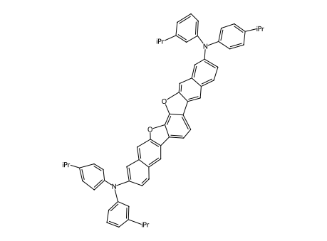 CC(C)c1ccc(N(c2cccc(C(C)C)c2)c2ccc3cc4c(cc3c2)oc2c4ccc3c4cc5ccc(N(c6ccc(C(C)C)cc6)c6cccc(C(C)C)c6)cc5cc4oc32)cc1